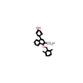 Cc1cccc(C)c1COc1c(C(=O)O)cc(-c2ccc(O)cc2)c2ccccc12